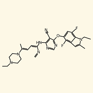 C=N/C(=C\C=C(/C)N1CCN(CC)CC1)Nc1ncnc(Oc2cc(F)c3c(cc(C)n3CC)c2F)c1C#N